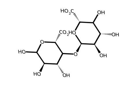 O=C(O)[C@H]1O[C@H](OC2[C@@H](C(=O)O)OC(O)[C@H](O)[C@H]2O)[C@H](O)[C@@H](O)C1O